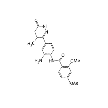 COc1cc(SC)ccc1C(=O)Nc1ccc(C2=NNC(=O)CC2C)cc1N